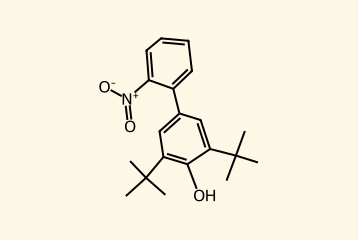 CC(C)(C)c1cc(-c2ccccc2[N+](=O)[O-])cc(C(C)(C)C)c1O